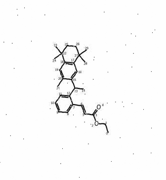 CCOC(=O)/C=C/c1ccccc1C(C)c1cc2c(cc1C)C(C)(C)CCC2(C)C